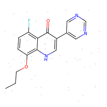 CCCOc1ccc(F)c2c(=O)c(-c3cncnc3)c[nH]c12